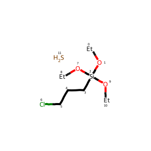 CCO[Si](CCCCl)(OCC)OCC.S